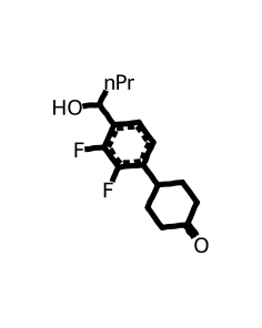 CCCC(O)c1ccc(C2CCC(=O)CC2)c(F)c1F